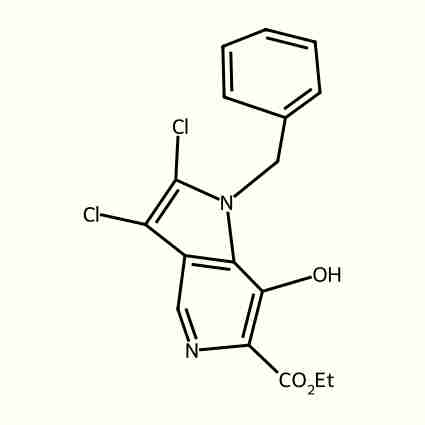 CCOC(=O)c1ncc2c(Cl)c(Cl)n(Cc3ccccc3)c2c1O